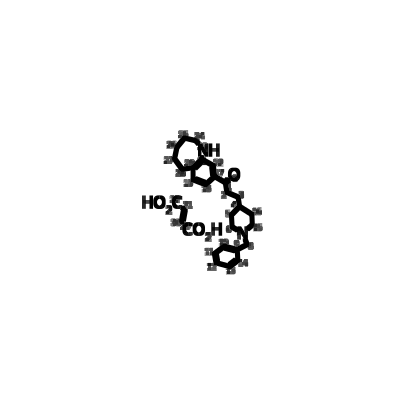 O=C(CCC1CCN(Cc2ccccc2)CC1)c1ccc2c(c1)NCCCCC2.O=C(O)/C=C/C(=O)O